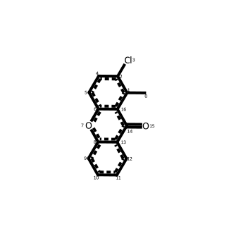 Cc1c(Cl)ccc2oc3ccccc3c(=O)c12